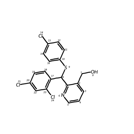 OCc1cccnc1C(Sc1ccc(Cl)cc1)c1ccc(Cl)cc1Cl